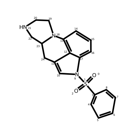 O=S(=O)(c1ccccc1)n1cc2c3c(cccc31)N1CCNCC1C2